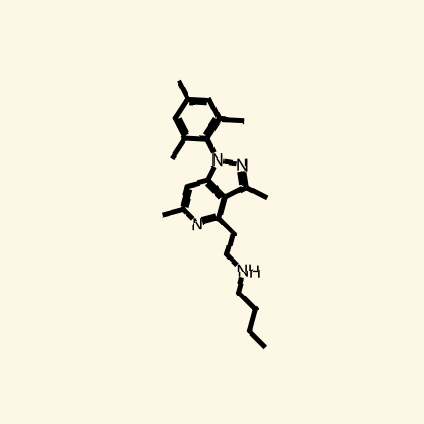 CCCCNCCc1nc(C)cc2c1c(C)nn2-c1c(C)cc(C)cc1C